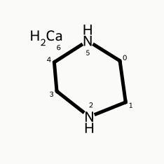 C1CNCCN1.[CaH2]